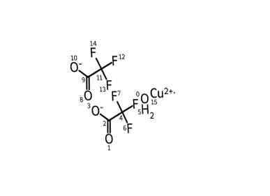 O.O=C([O-])C(F)(F)F.O=C([O-])C(F)(F)F.[Cu+2]